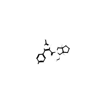 CCc1ccc(-c2sc(C)nc2C(=O)N2C[C@@H]3CCC[C@@H]3[C@H]2CN)cc1